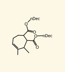 CCCCCCCCCCOC(=O)C1CCC=C(C)C(C)C1C(=O)OCCCCCCCCCC